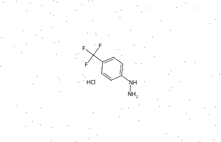 Cl.NNc1ccc(C(F)(F)F)cc1